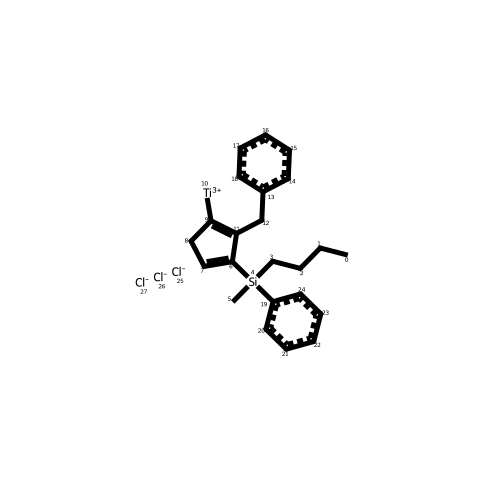 CCCC[Si](C)(C1=CC[C]([Ti+3])=C1Cc1ccccc1)c1ccccc1.[Cl-].[Cl-].[Cl-]